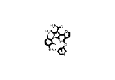 COc1ccc(C)c(-n2c(N)c(C(N)=O)c3c4occc4c(OC4CN5CCC4CC5)nc32)c1C